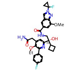 CCOc1c(CC(N)=O)cc([C@@](O)(CNC(=O)c2cc(OC)c3nn(C4(F)CC4)cc3c2)C2CCC2)nc1-c1ccc(F)cc1